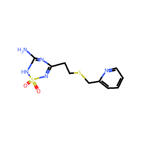 NC1=NC(CCSCc2ccccn2)=NS(=O)(=O)N1